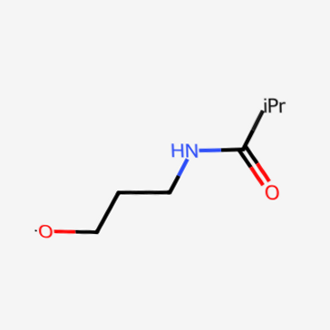 CC(C)C(=O)NCCC[O]